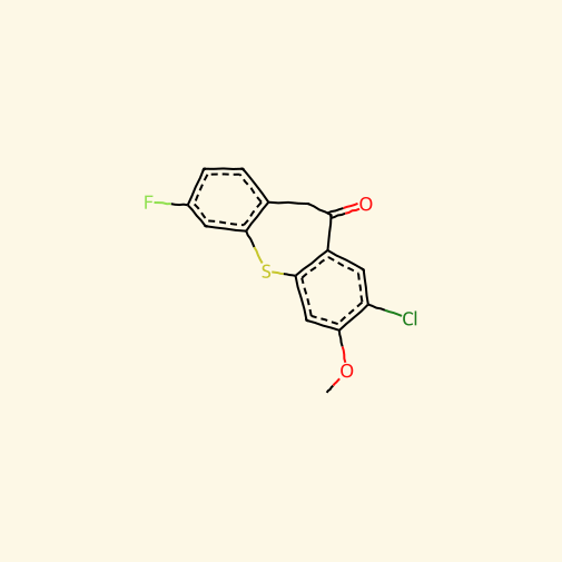 COc1cc2c(cc1Cl)C(=O)Cc1ccc(F)cc1S2